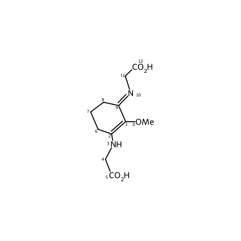 COC1=C(NCC(=O)O)CCC/C1=N\CC(=O)O